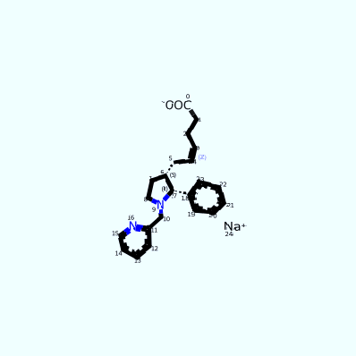 O=C([O-])CC/C=C\C[C@H]1CCN(Cc2ccccn2)[C@H]1c1ccccc1.[Na+]